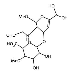 COC1OC(C(O)O)=CC(OC2OC(C(=O)O)C(OC)C(O)C2O)C1NCC=O